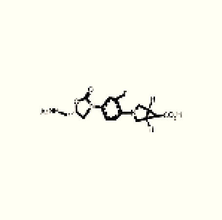 CC(=O)NC[C@H]1CN(c2ccc(N3C[C@@H]4C(C(=O)O)[C@@H]4C3)c(F)c2)C(=O)O1